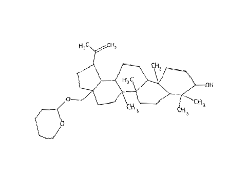 C=C(C)C1CCC2(COC3CCCCO3)CCC3(C)C(CCC4C5(C)CCC(O)C(C)(C)C5CCC43C)C12